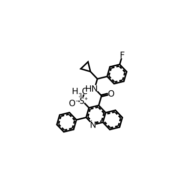 C[S+]([O-])c1c(-c2ccccc2)nc2ccccc2c1C(=O)NC(c1cccc(F)c1)C1CC1